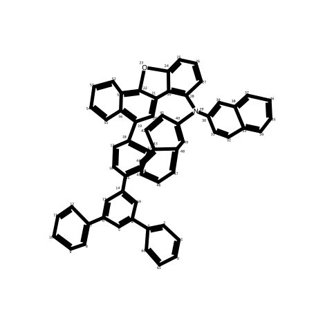 c1ccc(-c2cc(-c3ccccc3)cc(-c3ccc(-c4cc5c(oc6cccc(N(c7ccc8ccccc8c7)c7ccc8ccccc8c7)c65)c5ccccc45)cc3)c2)cc1